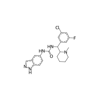 CN1CCCCC1C(NC(=O)Nc1ccc2[nH]ncc2c1)c1cc(F)cc(Cl)c1